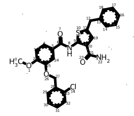 COc1ccc(C(=O)Nc2sc(Cc3ccccc3)cc2C(N)=O)cc1OCc1ccccc1Cl